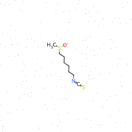 C[S@@+]([O-])CCCCCCN=C=S